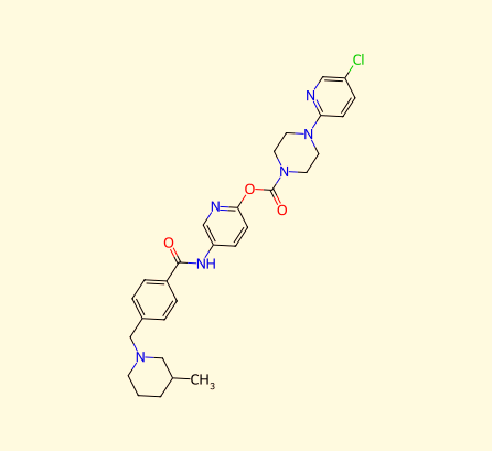 CC1CCCN(Cc2ccc(C(=O)Nc3ccc(OC(=O)N4CCN(c5ccc(Cl)cn5)CC4)nc3)cc2)C1